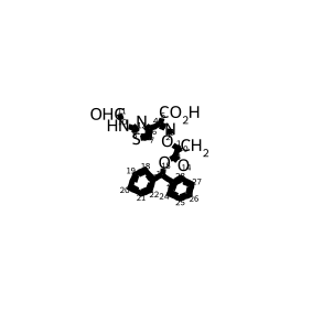 C=C(ON=C(C(=O)O)c1csc(NC=O)n1)C(=O)OC(c1ccccc1)c1ccccc1